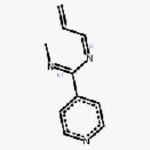 C=C/C=N\C(=N/C)c1ccncc1